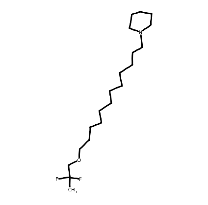 CC(F)(F)COCCCCCCCCCCCCN1CCCCC1